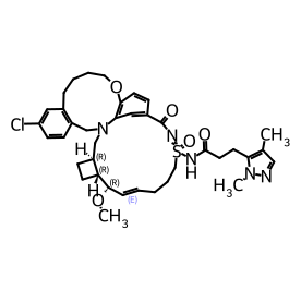 CO[C@H]1/C=C/CCCS(=O)(NC(=O)CCc2c(C)cnn2C)=NC(=O)c2ccc3c(c2)N(Cc2ccc(Cl)cc2CCCCO3)C[C@@H]2CC[C@H]21